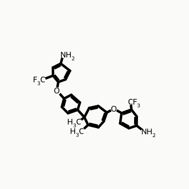 CC1=CC=C(Oc2ccc(N)cc2C(F)(F)F)C=CC1(C)c1ccc(Oc2ccc(N)cc2C(F)(F)F)cc1